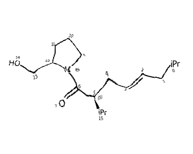 CC(C)CC=CC[C@H](C(=O)N1CCCC1CO)C(C)C